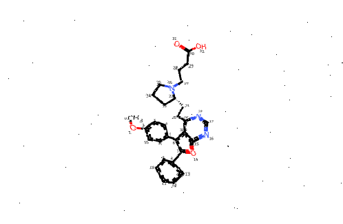 COc1ccc(-c2c(-c3ccccc3)oc3ncnc(CC[C@@H]4CCCN4CCCC(=O)O)c23)cc1